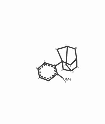 COc1cc[c]cc1C12CC3CC(CC(C3)C1)C2